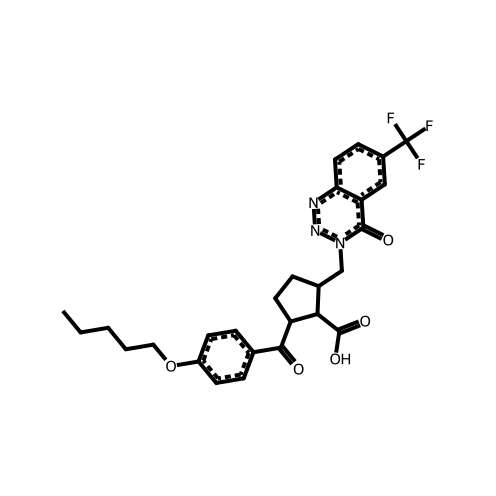 CCCCCOc1ccc(C(=O)C2CCC(Cn3nnc4ccc(C(F)(F)F)cc4c3=O)C2C(=O)O)cc1